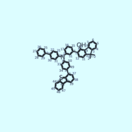 CC1(C)c2ccccc2-c2c1ccc(-c1cccc(N(c3ccc(-c4ccccc4)cc3)c3ccc(-c4cccc5c4sc4ccccc45)cc3)c1)c2O